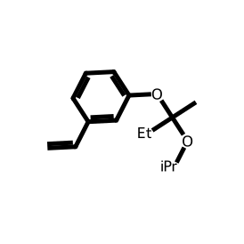 C=Cc1cccc(OC(C)(CC)OC(C)C)c1